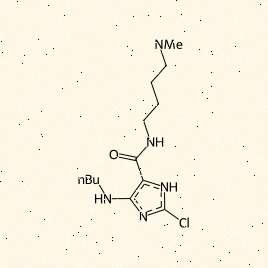 CCCCNc1nc(Cl)[nH]c1C(=O)NCCCCNC